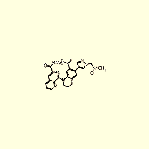 CNC(=O)c1cc2cccnc2c(N2CCCc3cc(-c4cnn(C[S+](C)[O-])c4)c(C(F)F)cc32)n1